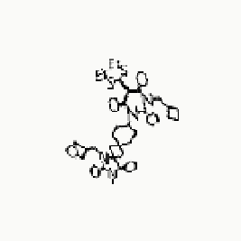 CCSC(SCC)=C1C(=O)N(CC2CCC2)C(=O)N(C2CCC3(CC2)CC2(C3)C(=O)N(C)C(=O)N2CC2COC2)C1=O